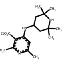 CCOC(=O)c1c(NC2CC(C)(C)NC(C)(C)C2)cc(C)nc1C